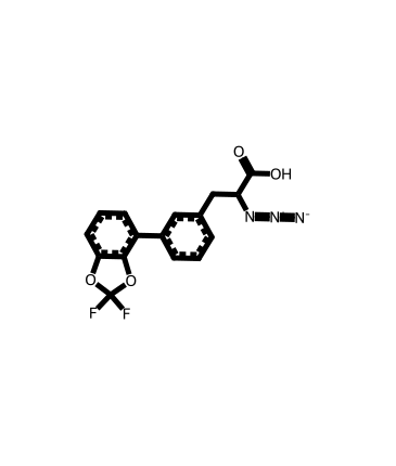 [N-]=[N+]=NC(Cc1cccc(-c2cccc3c2OC(F)(F)O3)c1)C(=O)O